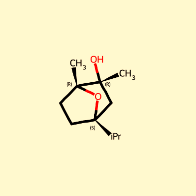 CC(C)[C@@]12CC[C@@](C)(O1)[C@](C)(O)C2